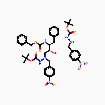 CC(C)(C)OC(=O)NN(Cc1ccc([N+](=O)[O-])cc1)C[C@H](O)[C@H](Cc1ccccc1)NC(=O)OCc1ccccc1.CC(C)(C)OC(=O)NNCc1ccc([N+](=O)[O-])cc1